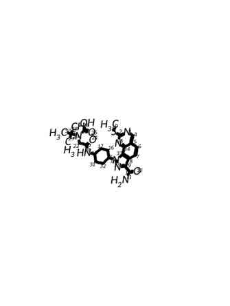 CSc1ncc2ccc3c(C(N)=O)nn(C4CCC(NC(=O)CN(C(=O)O)C(C)(C)C)CC4)c3c2n1